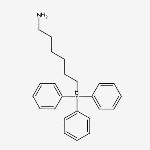 NCCCCCC[PH](c1ccccc1)(c1ccccc1)c1ccccc1